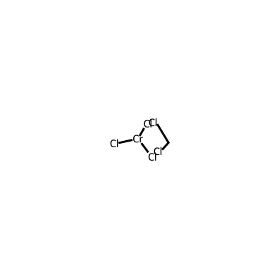 ClCCl.[Cl][Cr]([Cl])[Cl]